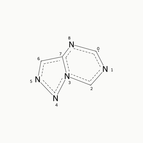 [c]1ncn2nncc2n1